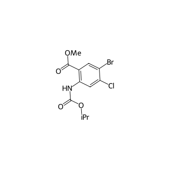 COC(=O)c1cc(Br)c(Cl)cc1NC(=O)OC(C)C